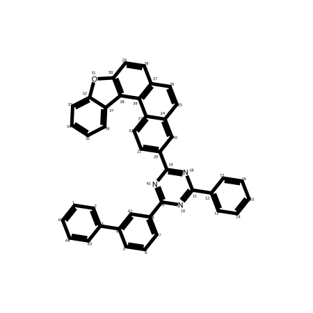 c1ccc(-c2cccc(-c3nc(-c4ccccc4)nc(-c4ccc5c(ccc6ccc7oc8ccccc8c7c65)c4)n3)c2)cc1